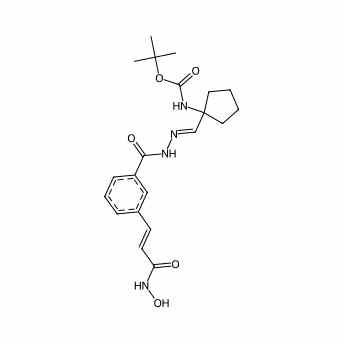 CC(C)(C)OC(=O)NC1(/C=N/NC(=O)c2cccc(/C=C/C(=O)NO)c2)CCCC1